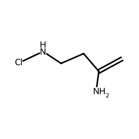 C=C(N)CCNCl